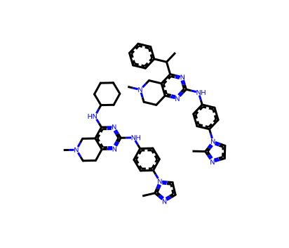 Cc1nccn1-c1ccc(Nc2nc3c(c(C(C)c4ccccc4)n2)CN(C)CC3)cc1.Cc1nccn1-c1ccc(Nc2nc3c(c(NC4CCCCC4)n2)CN(C)CC3)cc1